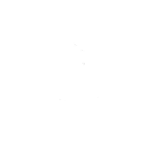 Cn1ncc(C#Cc2cccc(S(N)(=O)=O)c2)c1NC(=O)c1ccc(C(F)(F)F)cc1